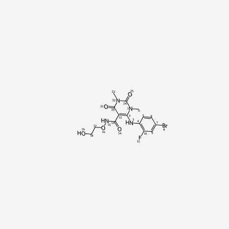 Cn1c(Nc2ccc(Br)cc2F)c(C(=O)NOCCO)c(=O)n(C)c1=O